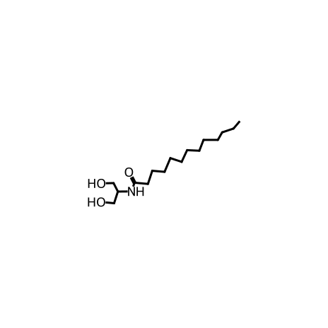 CCCCCCCCCCCCC(=O)NC(CO)CO